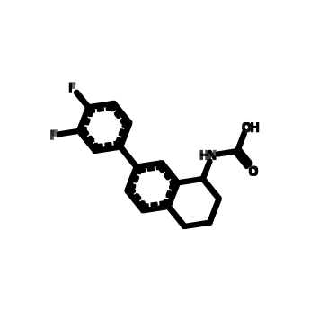 O=C(O)NC1CCCc2ccc(-c3ccc(F)c(F)c3)cc21